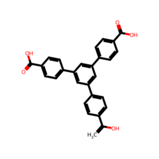 C=C(O)c1ccc(-c2cc(-c3ccc(C(=O)O)cc3)cc(-c3ccc(C(=O)O)cc3)c2)cc1